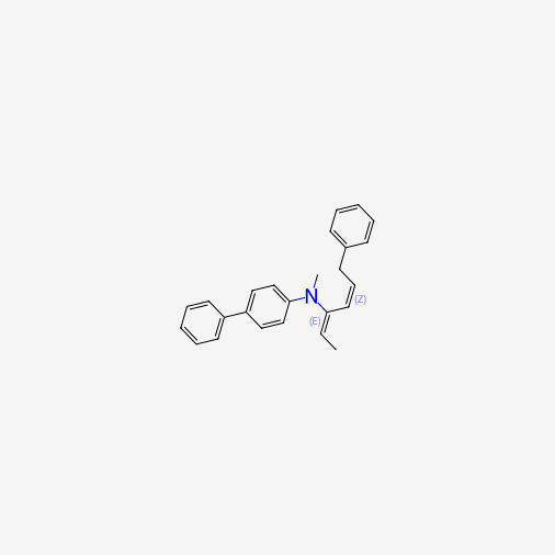 C/C=C(\C=C/Cc1ccccc1)N(C)c1ccc(-c2ccccc2)cc1